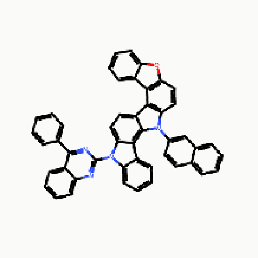 c1ccc(-c2nc(-n3c4ccccc4c4c3ccc3c5c6c(ccc5n(-c5ccc7ccccc7c5)c34)oc3ccccc36)nc3ccccc23)cc1